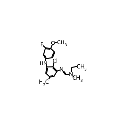 CCN(C)C=Nc1cc(C)cc(Nc2ccc(OC)c(F)c2)c1Cl